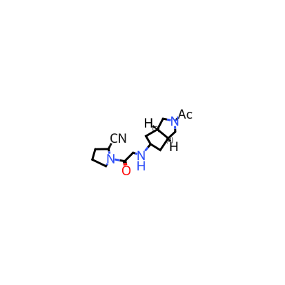 CC(=O)N1C[C@H]2CC(NCC(=O)N3CCCC3C#N)C[C@H]2C1